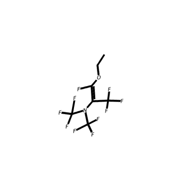 CCO/C(F)=C(/N(C(F)(F)F)C(F)(F)F)C(F)(F)F